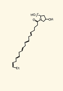 CC/C=C\C/C=C/C/C=C/C/C=C/C/C=C/CCCC(=O)N1CC(O)CC1C(=O)O